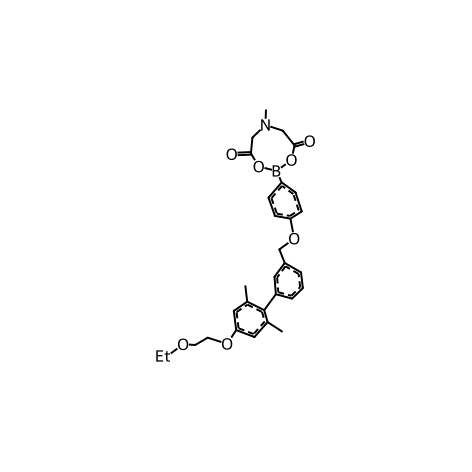 CCOCCOc1cc(C)c(-c2cccc(COc3ccc(B4OC(=O)CN(C)CC(=O)O4)cc3)c2)c(C)c1